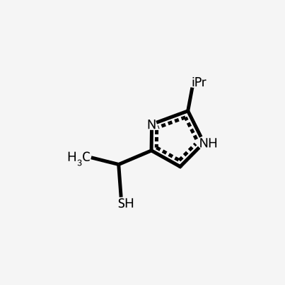 CC(C)c1nc(C(C)S)c[nH]1